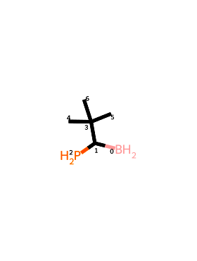 BC(P)C(C)(C)C